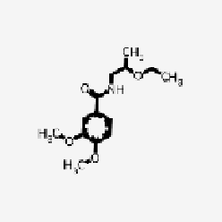 CCOC(C)CNC(=O)c1ccc(OC)c(OC)c1